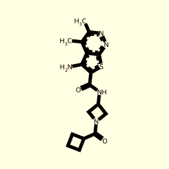 Cc1nnc2sc(C(=O)NC3CN(C(=O)C4CCC4)C3)c(N)c2c1C